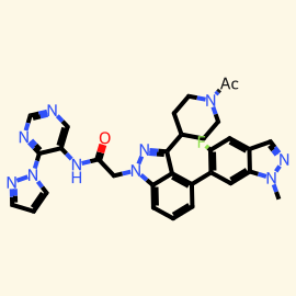 CC(=O)N1CCC(c2nn(CC(=O)Nc3cncnc3-n3cccn3)c3cccc(-c4cc5c(cnn5C)cc4F)c23)CC1